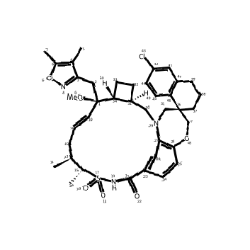 CO[C@]1(Cc2noc(C)c2C)/C=C/C[C@H](C)[C@@H](C)S(=O)(=O)NC(=O)c2ccc3c(c2)N(C[C@@H]2CC[C@H]21)C[C@@]1(CCCc2cc(Cl)ccc21)CO3